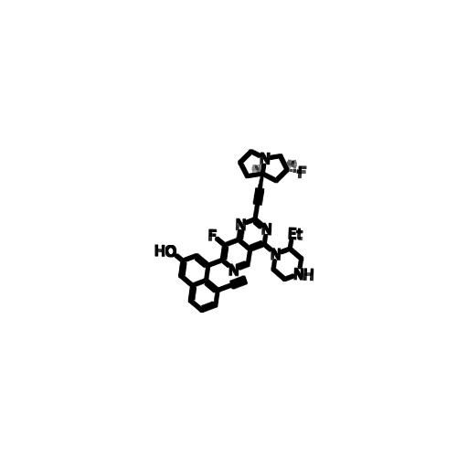 C#Cc1cccc2cc(O)cc(-c3ncc4c(N5CCNCC5CC)nc(C#C[C@@]56CCCN5C[C@H](F)C6)nc4c3F)c12